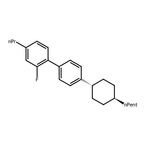 CCCCC[C@H]1CC[C@H](c2ccc(-c3ccc(CCC)cc3F)cc2)CC1